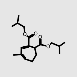 CC1=CCCC(C(=O)OCC(C)C)C(C(=O)OCC(C)C)=C1